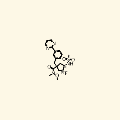 CON(C)C(=O)[C@@]1(Cc2cccc(-c3ncccn3)c2)C[C@@H](F)[C@H](NS(C)(=O)=O)C1